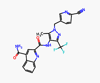 Cc1c(NC(=O)c2cc(C(N)=O)c3ccccc3n2)c(C(F)(F)F)nn1Cc1ccc(C#N)nc1